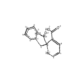 O=C(O)C1=CC=CNC1(Cc1ccccc1)C(=O)O